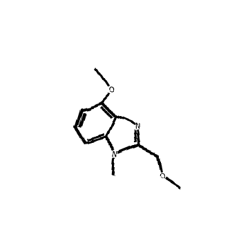 COCc1nc2c(OC)cccc2n1C